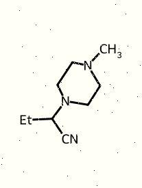 CCC(C#N)N1CCN(C)CC1